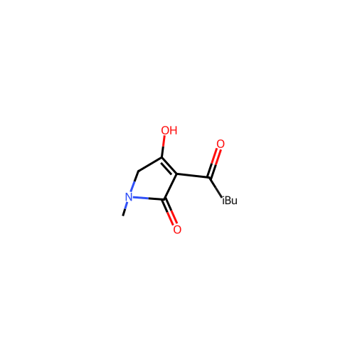 CCC(C)C(=O)C1=C(O)CN(C)C1=O